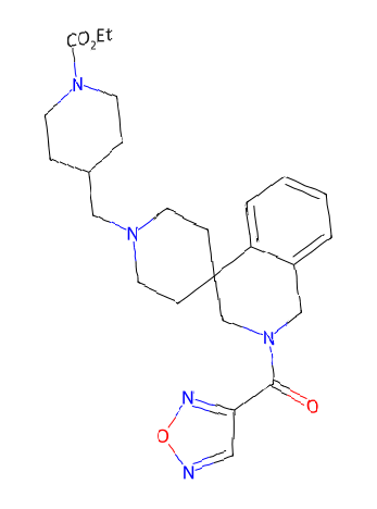 CCOC(=O)N1CCC(CN2CCC3(CC2)CN(C(=O)c2cnon2)Cc2ccccc23)CC1